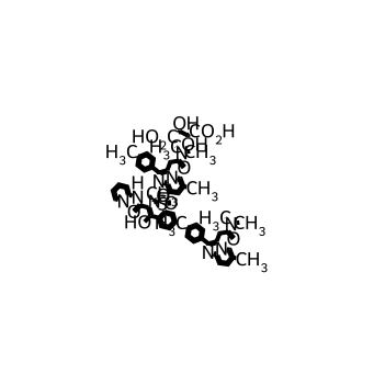 CN1C(C(=O)Nc2ccccn2)=C(O)c2ccccc2S1(=O)=O.Cc1ccc(-c2nc3ccc(C)cn3c2CC(=O)N(C)C)cc1.Cc1ccc(-c2nc3ccc(C)cn3c2CC(=O)N(C)C)cc1.O=C(O)C(O)C(O)C(=O)O